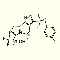 C[C@H]1Cn2c(nnc2C(F)(F)Oc2ccc(F)cc2)-c2cnc([C@@](C)(O)C(F)(F)F)n21